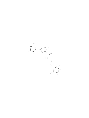 O=C(NCCn1nccc1Cl)c1cc(-c2ccco2)on1